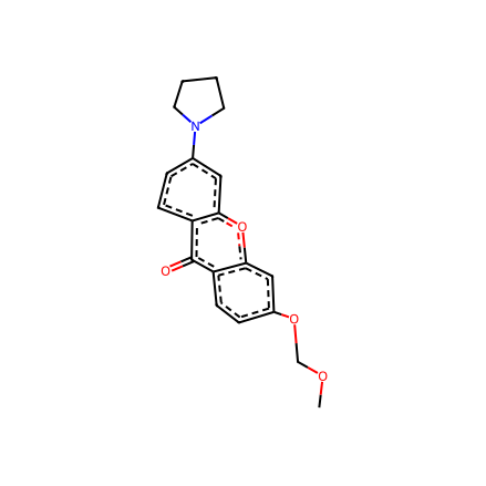 COCOc1ccc2c(=O)c3ccc(N4CCCC4)cc3oc2c1